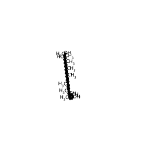 CC1=C(/C=C/C(C)=C/C=C/C(C)=C/C=C/C=C(C)/C=C/C=C(C)/C=C/C=C(C)/C=C/C(O)C(C)(C)O)C(C)(C)C(O)CC1